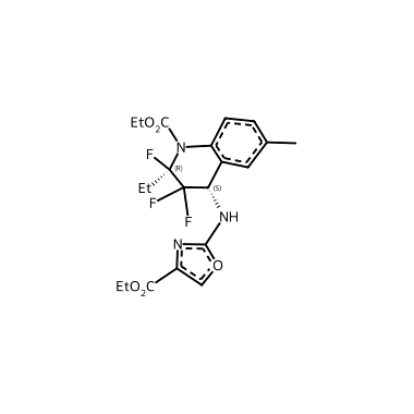 CCOC(=O)c1coc(N[C@H]2c3cc(C)ccc3N(C(=O)OCC)[C@@](F)(CC)C2(F)F)n1